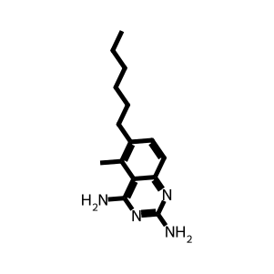 CCCCCCc1ccc2nc(N)nc(N)c2c1C